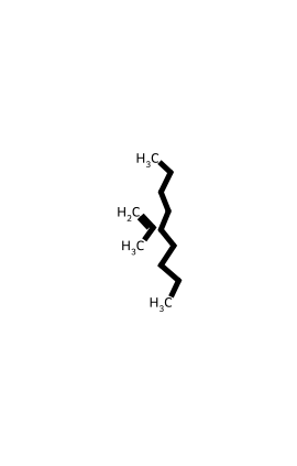 C=CC.CCCCCCCCC